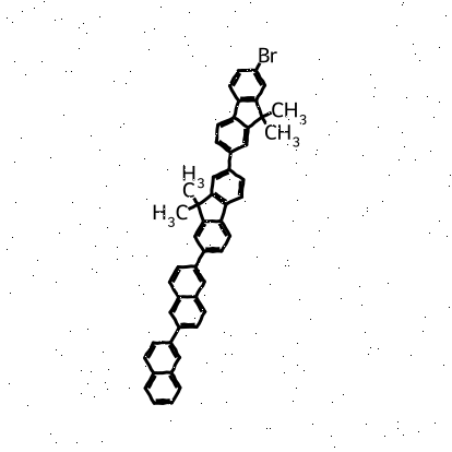 CC1(C)c2cc(Br)ccc2-c2ccc(-c3ccc4c(c3)C(C)(C)c3cc(-c5ccc6cc(-c7ccc8ccccc8c7)ccc6c5)ccc3-4)cc21